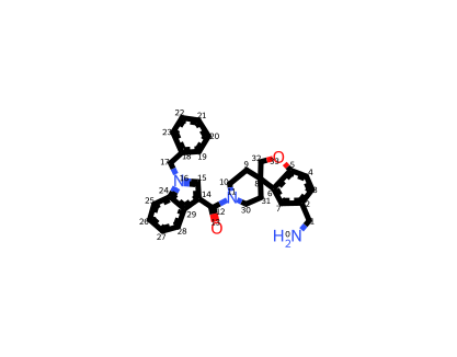 NCc1ccc2c(c1)C1(CCN(C(=O)c3cn(Cc4ccccc4)c4ccccc34)CC1)CO2